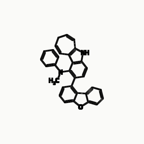 CN(c1ccccc1)c1c(-c2cccc3oc4ccccc4c23)ccc2[nH]c3c(c12)C=CCC=C3